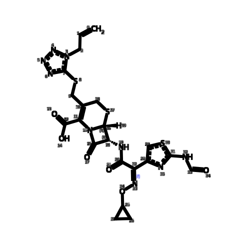 C=CCn1nnnc1SCC1=C(C(=O)O)N2C(=O)[C@@H](NC(=O)/C(=N\OC3CC3)c3csc(NC=O)n3)[C@H]2SC1